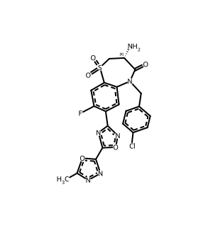 Cc1nnc(-c2nc(-c3cc4c(cc3F)S(=O)(=O)C[C@H](N)C(=O)N4Cc3ccc(Cl)cc3)no2)o1